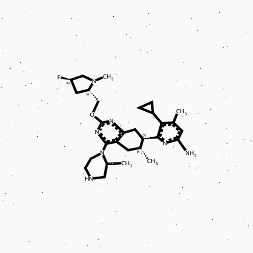 Cc1cc(N)nc([C@@H]2Cc3nc(OC[C@@H]4C[C@@H](F)CN4C)nc(N4CCNCC4C)c3C[C@H]2C)c1C1CC1